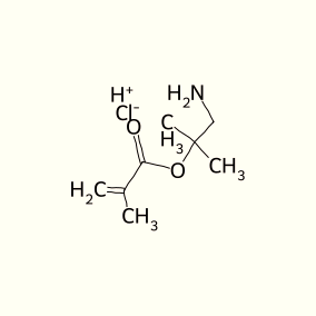 C=C(C)C(=O)OC(C)(C)CN.[Cl-].[H+]